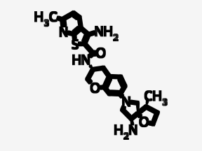 Cc1ccc2c(N)c(C(=O)N[C@H]3COc4cc(N5C[C@H](N)[C@@]6(C5)OCC[C@H]6C)ccc4C3)sc2n1